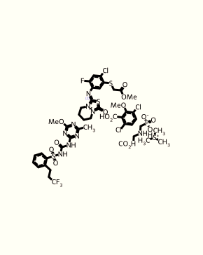 COC(=O)CSc1cc(/N=c2\sc(=O)n3n2CCCC3)c(F)cc1Cl.COc1c(Cl)ccc(Cl)c1C(=O)O.COc1nc(C)nc(NC(=O)NS(=O)(=O)c2ccccc2CCC(F)(F)F)n1.C[S+](C)C.O=C(O)CNCP(=O)([O-])O